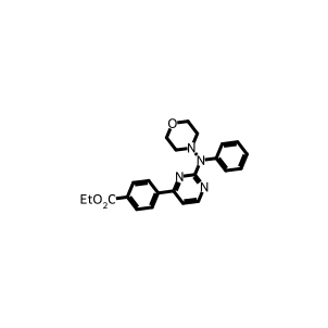 CCOC(=O)c1ccc(-c2ccnc(N(c3ccccc3)N3CCOCC3)n2)cc1